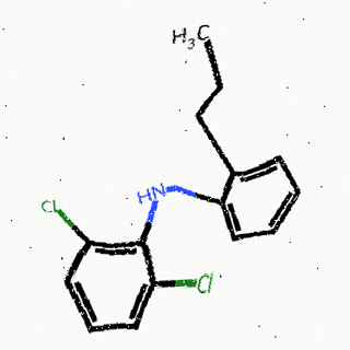 CCCc1ccccc1Nc1c(Cl)cccc1Cl